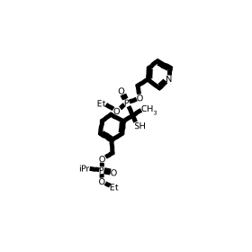 CCOP(=O)(OCC1=CCCC(C(C)(S)P(=O)(OCC)OCc2cccnc2)=C1)C(C)C